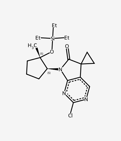 CC[Si](CC)(CC)O[C@@]1(C)CCC[C@@H]1N1C(=O)C2(CC2)c2cnc(Cl)nc21